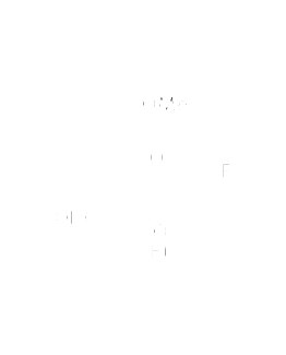 CCOc1cc(C=O)ccc1-c1ccc(F)cc1OCCOC